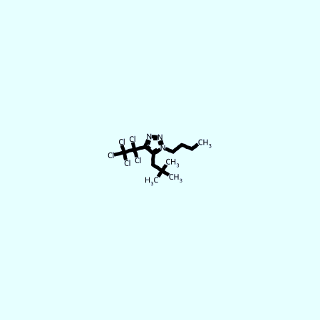 CCCCn1nnc(C(Cl)(Cl)C(Cl)(Cl)Cl)c1CC(C)(C)C